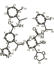 CC(NC(=O)c1ccc(-c2cn[nH]c2)c(C(F)F)c1)c1ccccc1F.CC(NC(=O)c1cccc(C2OCCO2)c1Br)c1ccccc1F